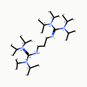 CC(C)N(C(=NCCCNC(N(C(C)C)C(C)C)=[N+](C(C)C)C(C)C)N(C(C)C)C(C)C)C(C)C